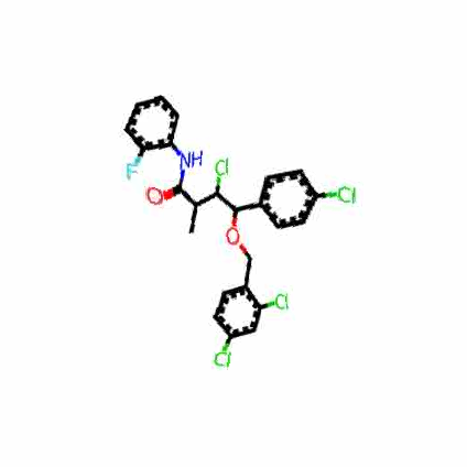 CC(C(=O)Nc1ccccc1F)C(Cl)C(OCc1ccc(Cl)cc1Cl)c1ccc(Cl)cc1